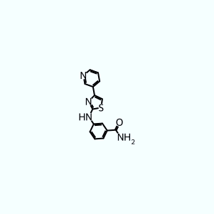 NC(=O)c1cccc(Nc2nc(-c3cccnc3)cs2)c1